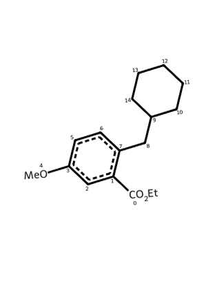 CCOC(=O)c1cc(OC)ccc1CC1CCCCC1